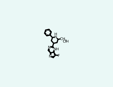 CC1CC(c2ncc3ncc(F)c-3[nH]2)CC(c2ccccc2)N1.Cl